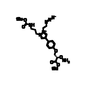 CC(C)(C)OC(=O)NCCCn1cc(-c2ccc(OC[C@H](ON)C(=O)OC(C)(C)C)cc2)c[n+]1CCN=[N+]=[N-]